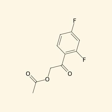 CC(=O)OCC(=O)c1ccc(F)cc1F